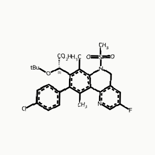 Cc1c(-c2ccc(Cl)cc2)c([C@H](OC(C)(C)C)C(=O)O)c(C)c2c1-c1ncc(F)cc1CN2S(C)(=O)=O